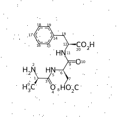 C[C@@H](N)C(=O)N[C@H](CC(=O)O)C(=O)N[C@@H](Cc1ccccc1)C(=O)O